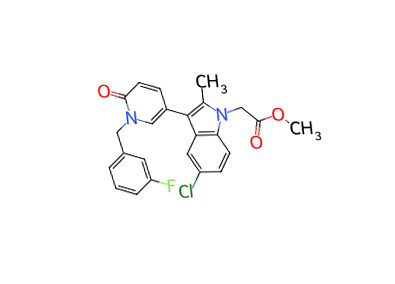 COC(=O)Cn1c(C)c(-c2ccc(=O)n(Cc3cccc(F)c3)c2)c2cc(Cl)ccc21